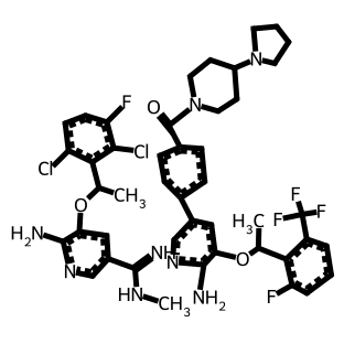 CC(Oc1cc(-c2ccc(C(=O)N3CCC(N4CCCC4)CC3)cc2)cnc1N)c1c(F)cccc1C(F)(F)F.CNC(=N)c1cnc(N)c(OC(C)c2c(Cl)ccc(F)c2Cl)c1